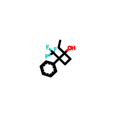 CCC1(O)CCC1(c1ccccc1)C(F)(F)F